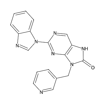 O=c1[nH]c2cnc(-n3cnc4ccccc43)nc2n1Cc1cccnc1